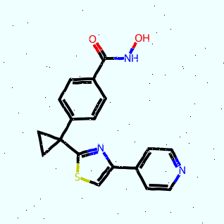 O=C(NO)c1ccc(C2(c3nc(-c4ccncc4)cs3)CC2)cc1